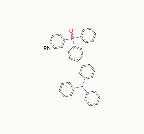 O=P(c1ccccc1)(c1ccccc1)c1ccccc1.[Rh].c1ccc(P(c2ccccc2)c2ccccc2)cc1